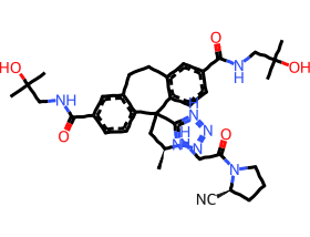 C[C@@H](CC1(c2nnn[nH]2)c2ccc(C(=O)NCC(C)(C)O)cc2CCc2cc(C(=O)NCC(C)(C)O)ccc21)NCC(=O)N1CCC[C@H]1C#N